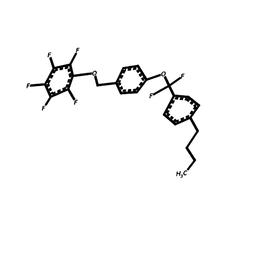 CCCCc1ccc(C(F)(F)Oc2ccc(COc3c(F)c(F)c(F)c(F)c3F)cc2)cc1